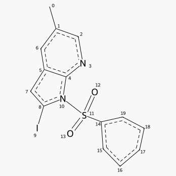 Cc1cnc2c(c1)cc(I)n2S(=O)(=O)c1ccccc1